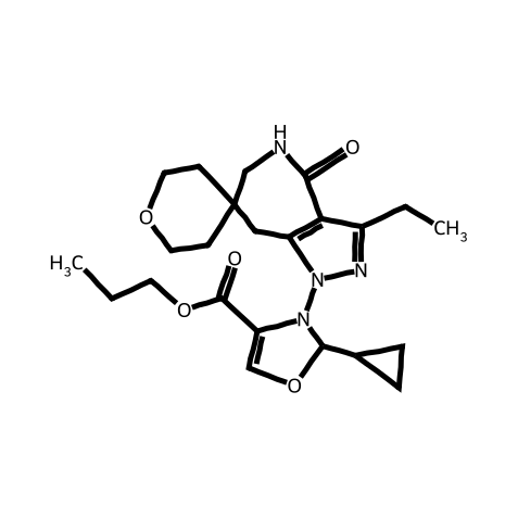 CCCOC(=O)C1=COC(C2CC2)N1n1nc(CC)c2c1CC1(CCOCC1)CNC2=O